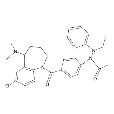 CCN(c1ccccc1)N(C(C)=O)c1ccc(C(=O)N2CCCC(N(C)C)c3cc(Cl)ccc32)cc1